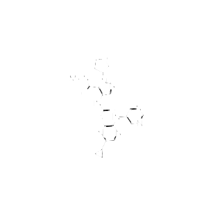 CNC(=O)c1c(NC(=O)Oc2nc(C3CC3)cnc2Nc2cncnc2)cnn1C1CCOC1